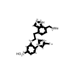 CNCc1ccc(CCOc2cc(C(=O)O)ccc2-n2cnc(F)c2)c2cn[nH]c12